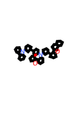 c1cc(-c2cccc3oc4c5ccccc5ccc4c23)cc(N(c2ccc(-c3cccc(-n4c5ccccc5c5ccccc54)c3)cc2)c2cccc3oc4ccccc4c23)c1